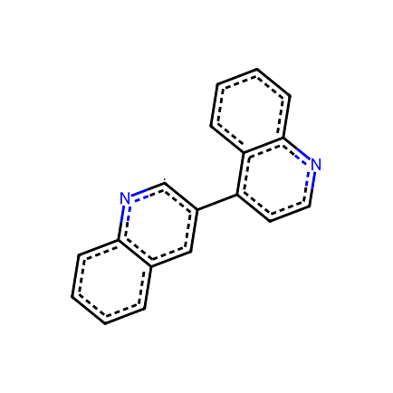 [c]1nc2ccccc2cc1-c1ccnc2ccccc12